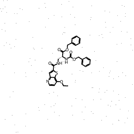 CCOc1ccnc2cc(C(=O)NC[C@@H](NC(=O)OCc3ccccc3)C(=O)OCc3ccccc3)sc12